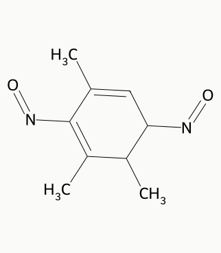 CC1=CC(N=O)C(C)C(C)=C1N=O